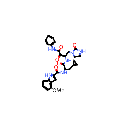 COc1cccc2[nH]c(C(=O)NC(CC3CC3)C(=O)NC(CN3CCNC3=O)C(=O)C(=O)Nc3ccccc3)cc12